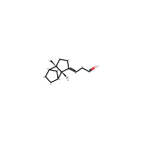 C[C@@]12CC/C(=C\CC=O)[C@@H]1C1CCC2C1